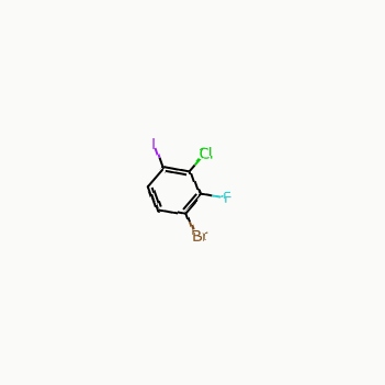 Fc1c(Br)ccc(I)c1Cl